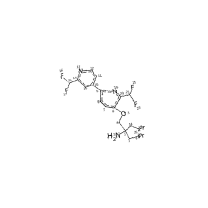 CC(C)CC(N)(COc1ccc(-c2ccnc(C(F)F)c2)nc1C(F)F)CC(C)C